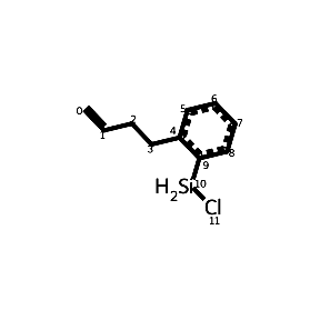 C=CCCc1ccccc1[SiH2]Cl